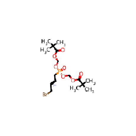 CC(C)(C)C(=O)OCOP(=O)(C/C=C/CBr)OCOC(=O)C(C)(C)C